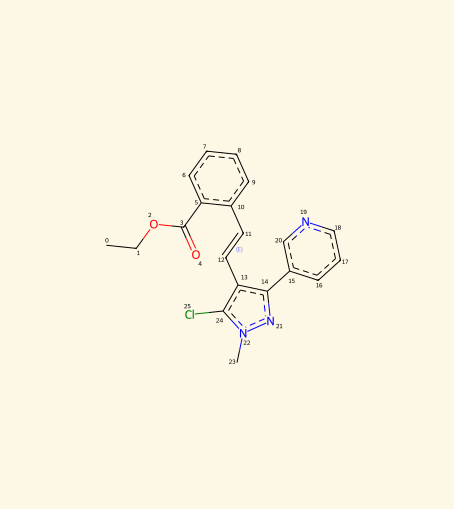 CCOC(=O)c1ccccc1/C=C/c1c(-c2cccnc2)nn(C)c1Cl